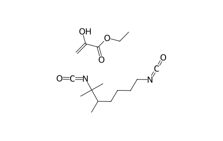 C=C(O)C(=O)OCC.CC(CCCCN=C=O)C(C)(C)N=C=O